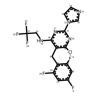 Fc1cc(F)c(Cc2c(Cl)nc(-n3ccnc3)nc2NCC(F)(F)F)c(F)c1